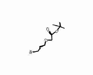 CC(C)(C)OC(=O)COCCCBr